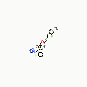 CC(SC1COC(C=CC=Cc2ccc(C#N)cc2F)OC1)C(Cn1cncn1)(OC(=O)O)c1ccc(F)cc1F